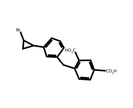 O=C(O)c1ccc(Cc2cccc(C3CC3Br)c2)c(C(=O)O)c1